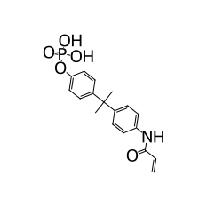 C=CC(=O)Nc1ccc(C(C)(C)c2ccc(OP(=O)(O)O)cc2)cc1